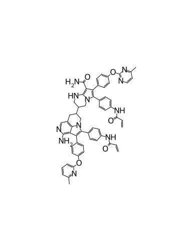 C=CC(=O)Nc1ccc(-c2c(-c3ccc(Oc4nccc(C)n4)cc3)c(C(N)=O)c3n2CC(C2Cc4cnc(N)c5c(-c6ccc(Oc7cccc(C)n7)cc6)c(-c6ccc(NC(=O)C=C)cc6)n(c45)C2)CN3)cc1